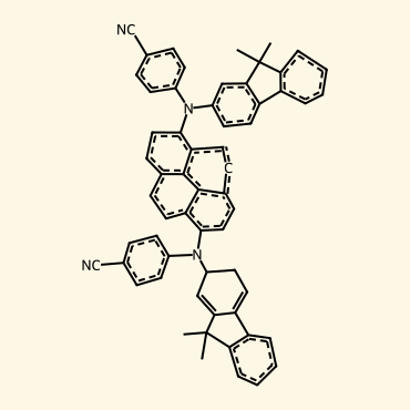 CC1(C)C2=CC(N(c3ccc(C#N)cc3)c3ccc4ccc5c(N(c6ccc(C#N)cc6)c6ccc7c(c6)C(C)(C)c6ccccc6-7)ccc6ccc3c4c65)CC=C2c2ccccc21